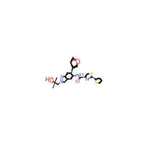 CC(C)(O)Cn1cc2cc(NC(=O)c3csc(-c4cccs4)n3)c(-c3ccoc3)cc2n1